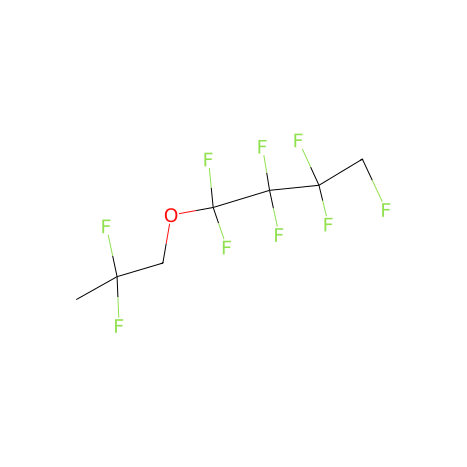 CC(F)(F)COC(F)(F)C(F)(F)C(F)(F)CF